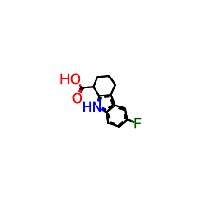 O=C(O)C1CCCc2c1[nH]c1ccc(F)cc21